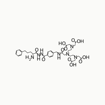 NC(CCCc1ccccc1)C(=O)NNC(=O)c1ccc(CNC(=O)CN(CCN(CC(=O)O)CC(=O)O)CCN(CC(=O)O)CC(=O)O)cc1